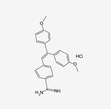 COc1ccc(C(=Cc2ccc(C(=N)N)cc2)c2ccc(OC)cc2)cc1.Cl